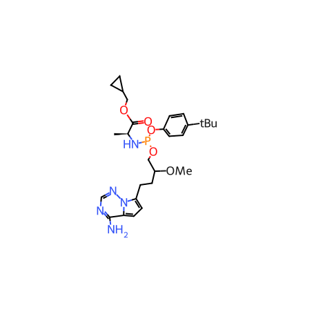 COC(CCc1ccc2c(N)ncnn12)COP(N[C@@H](C)C(=O)OCC1CC1)Oc1ccc(C(C)(C)C)cc1